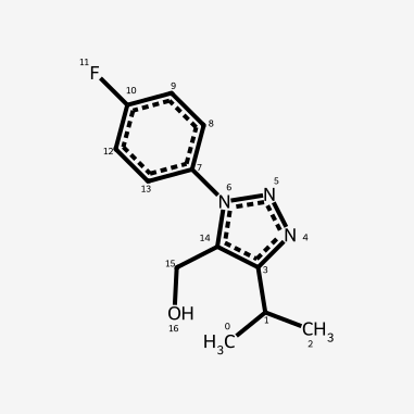 CC(C)c1nnn(-c2ccc(F)cc2)c1CO